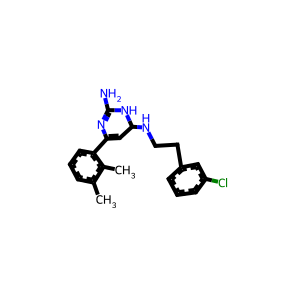 Cc1cccc(C2=CC(NCCc3cccc(Cl)c3)NC(N)=N2)c1C